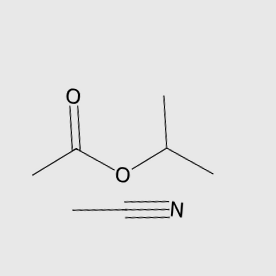 CC#N.CC(=O)OC(C)C